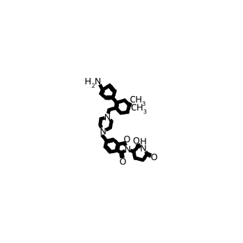 CC1(C)CCC(CN2CCN(Cc3ccc4c(c3)C(=O)N(C3CCC(=O)NC3=O)C4=O)CC2)=C(c2ccc(N)cc2)C1